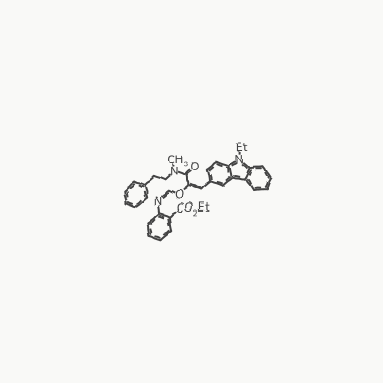 CCOC(=O)c1ccccc1/N=C\O/C(=C/c1ccc2c(c1)c1ccccc1n2CC)C(=O)N(C)CCc1ccccc1